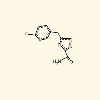 NC(=O)c1ncn(Cc2ccc(F)cc2)n1